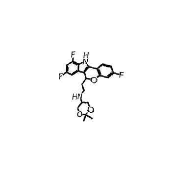 CC1(C)OCC(NCCC2Oc3cc(F)ccc3-c3[nH]c4c(F)cc(F)cc4c32)CO1